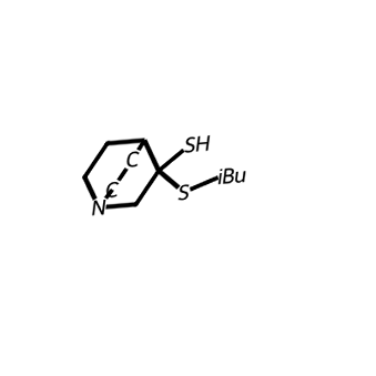 CCC(C)SC1(S)CN2CCC1CC2